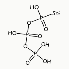 O=P(O)(O)OP(=O)(O)O[P](=O)(O)[Sn]